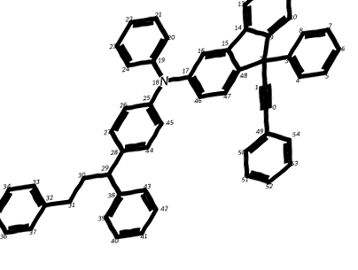 C(#CC1(c2ccccc2)c2ccccc2-c2cc(N(c3ccccc3)c3ccc(C(CCc4ccccc4)c4ccccc4)cc3)ccc21)c1ccccc1